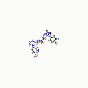 COc1ccc(-n2ncnc2CNC(=O)NCc2ncnn2-c2ccc(Cl)c(F)c2)cn1